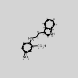 O=C(O)c1cc([N+](=O)[O-])ccc1NCCc1c[nH]c2ccccc12